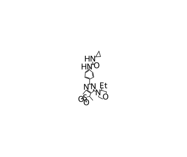 CC[C@H]1COCCN1c1nc(-c2ccc(NC(=O)NC3CC3)cc2)nc2c1C(C)S(=O)(=O)C2